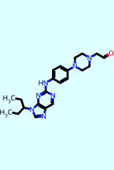 CCC(CC)n1cnc2cnc(Nc3ccc(N4CCN(CC=O)CC4)cc3)nc21